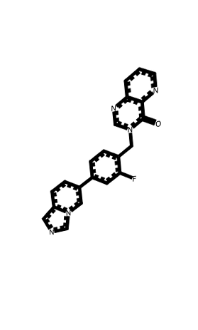 O=c1c2ncccc2ncn1Cc1ccc(-c2ccc3cncn3c2)cc1F